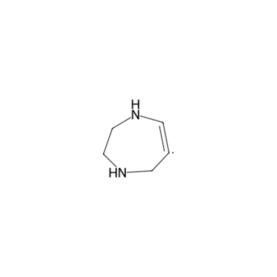 [C]1=CNCCNC1